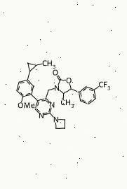 COc1ccc(C2CC2C)cc1-c1cnc(N2CCC2)nc1CN1C(=O)OC(c2cccc(C(F)(F)F)c2)C1C